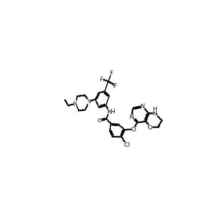 CCN1CCN(c2cc(NC(=O)c3ccc(Cl)c(Oc4ncnc5c4OCCN5)c3)cc(C(F)(F)F)c2)CC1